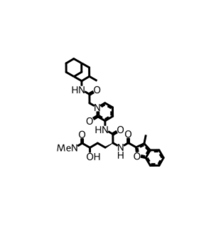 CNC(=O)C(O)CC[C@H](NC(=O)c1oc2ccccc2c1C)C(=O)Nc1cccn(CC(=O)NC2C(C)CC3CCCC2C3)c1=O